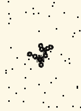 C1=C(c2ccccc2)CCC(c2nc(-c3ccccc3)nc(-c3cccc(-n4c5cc6ccccc6cc5c5c6ccccc6ccc54)c3)n2)=C1